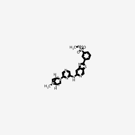 CNS(=O)(=O)c1cccc(-c2nc3cc(Nc4cncc(N5C[C@@H]6C[C@H]5CN6C)n4)ncc3s2)c1